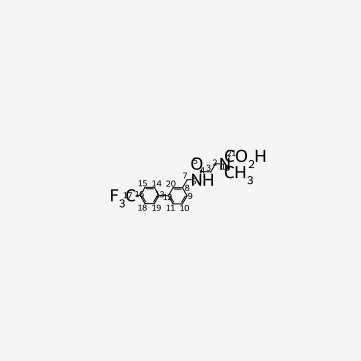 CN(CCC(=O)NCc1cccc(-c2ccc(C(F)(F)F)cc2)c1)C(=O)O